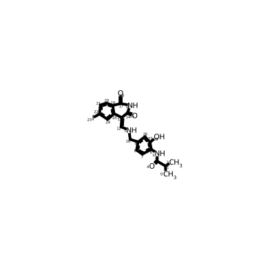 CC(C)C(=O)Nc1ccc(CNC=C2C(=O)NC(=O)c3ccc(I)cc32)cc1O